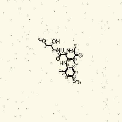 COC[C@@H](O)CNC(=O)c1nn(C)c(=O)c(C)c1Nc1ccc(SC)cc1F